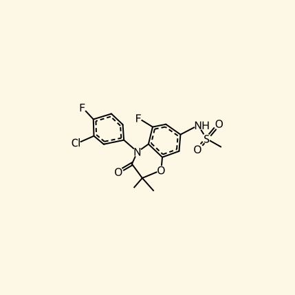 CC1(C)Oc2cc(NS(C)(=O)=O)cc(F)c2N(c2ccc(F)c(Cl)c2)C1=O